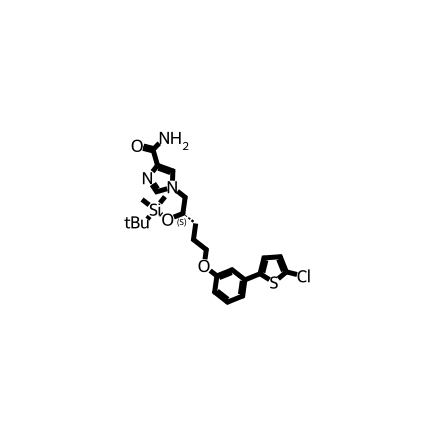 CC(C)(C)[Si](C)(C)O[C@@H](CCCOc1cccc(-c2ccc(Cl)s2)c1)Cn1cnc(C(N)=O)c1